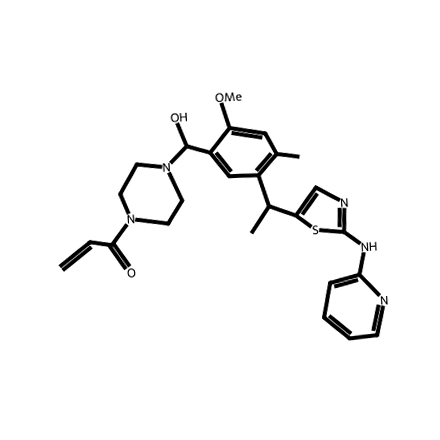 C=CC(=O)N1CCN(C(O)c2cc(C(C)c3cnc(Nc4ccccn4)s3)c(C)cc2OC)CC1